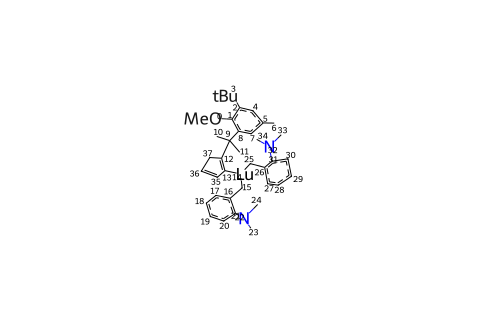 COc1c(C(C)(C)C)cc(C)cc1C(C)(C)C1=[C]([Lu]([CH2]c2ccccc2N(C)C)[CH2]c2ccccc2N(C)C)C=CC1